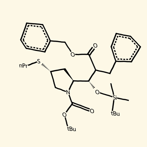 CCCS[C@@H]1C[C@@H]([C@@H](O[Si](C)(C)C(C)(C)C)C(Cc2ccccc2)C(=O)OCc2ccccc2)N(C(=O)OC(C)(C)C)C1